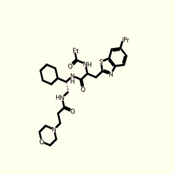 CCC(=O)NC(Cc1nc2ccc(C(C)C)cc2s1)C(=O)N[C@H](CNC(=O)CCN1CCOCC1)C1CCCCC1